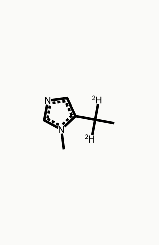 [2H]C([2H])(C)c1cncn1C